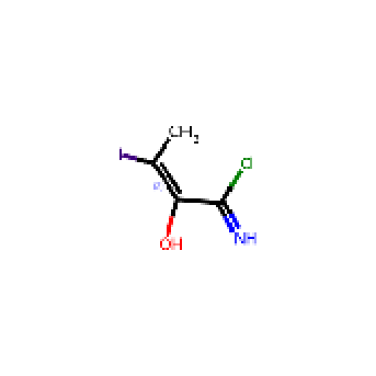 C/C(I)=C(/O)C(=N)Cl